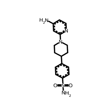 Nc1ccnc(N2CCC(c3ccc(S(N)(=O)=O)cc3)CC2)c1